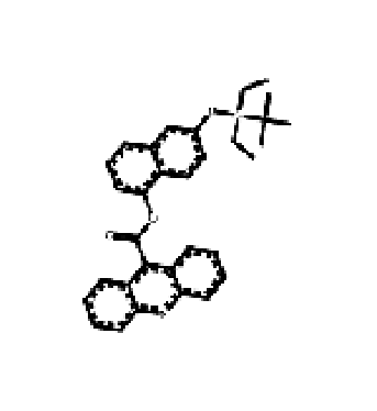 CC[Si](CC)(Oc1ccc2c(OC(=O)c3c4ccccc4nc4ccccc34)cccc2c1)C(C)(C)C